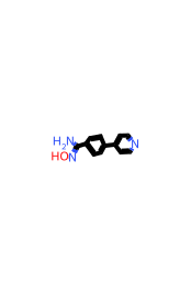 NC(=NO)c1ccc(-c2ccncc2)cc1